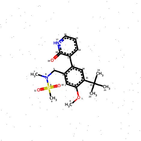 COc1cc(CN(C)S(C)(=O)=O)c(-c2ccc[nH]c2=O)cc1C(C)(C)C